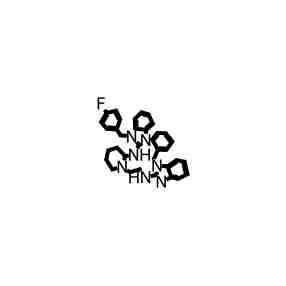 Fc1ccc(Cn2c(NC3CCCCN3CCNc3nc4ccccc4n3Cc3ccccc3)nc3ccccc32)cc1